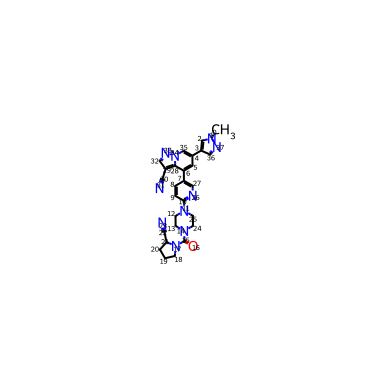 Cn1cc(-c2cc(-c3ccc(N4CCN(C(=O)N5CCCC5C#N)CC4)nc3)c3c(C#N)cnn3c2)cn1